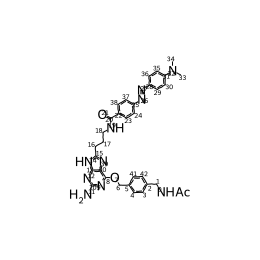 CC(=O)NCc1ccc(COc2nc(N)nc3[nH]c(CCCNC(=O)c4ccc(/N=N/c5ccc(N(C)C)cc5)cc4)nc23)cc1